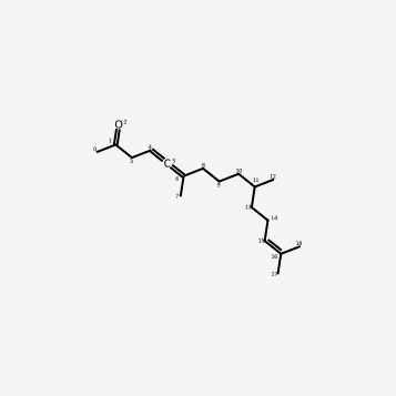 CC(=O)CC=C=C(C)CCCC(C)CCC=C(C)C